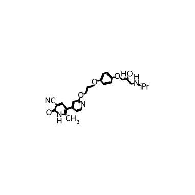 Cc1[nH]c(=O)c(C#N)cc1-c1ccnc(OCCCOc2ccc(OC[C@@H](O)CNC(C)C)cc2)c1